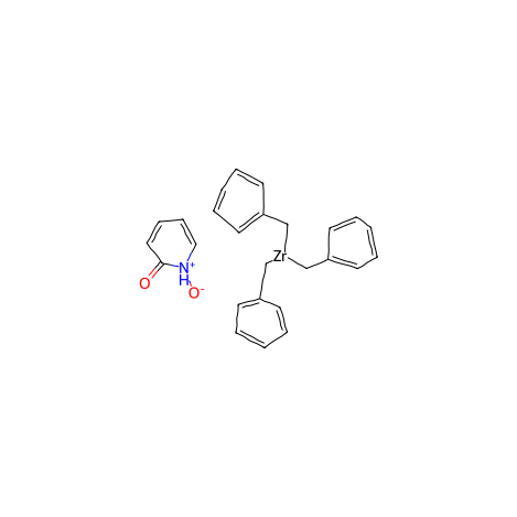 O=C1C=CC=C[NH+]1[O-].c1ccc([CH2][Zr]([CH2]c2ccccc2)[CH2]c2ccccc2)cc1